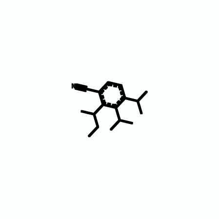 CCC(C)c1c(C#N)ccc(C(C)C)c1C(C)C